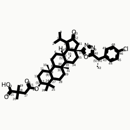 CC(C)C1=C2[C@H]3CCC4[C@@]5(C)CC[C@H](OC(=O)CC(C)(C)C(=O)O)C(C)(C)C5CC[C@@]4(C)[C@]3(C)CC[C@@]2(c2nnc([C@@H](C)c3ccc(Cl)cc3)o2)CC1=O